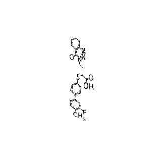 Cc1ccc(-c2ccc(SC(CCn3nnc4ccccc4c3=O)C(=O)O)cc2)cc1F